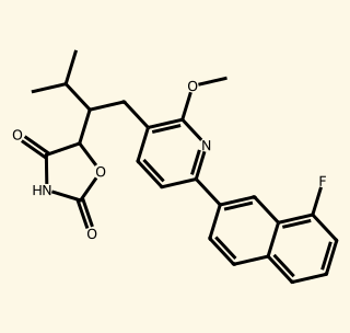 COc1nc(-c2ccc3cccc(F)c3c2)ccc1CC(C(C)C)C1OC(=O)NC1=O